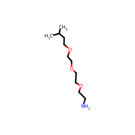 CC(C)CCOCCOCCOCCN